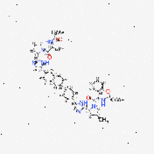 COC(=O)NC(C(=O)N1CC(C)CC1c1ncc(-c2ccc(-c3ccc4cc(-c5cnc(C6CCCN6C(=O)C(NC(=O)OC)C(C)C)[nH]5)ccc4c3)cc2)[nH]1)c1ccccc1